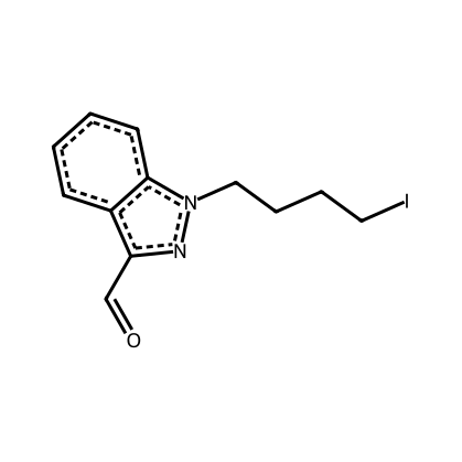 O=Cc1nn(CCCCI)c2ccccc12